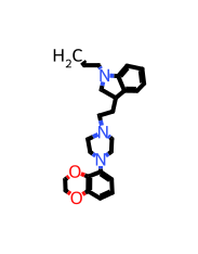 C=CCN1CC(CCN2CCN(c3cccc4c3OCCO4)CC2)c2ccccc21